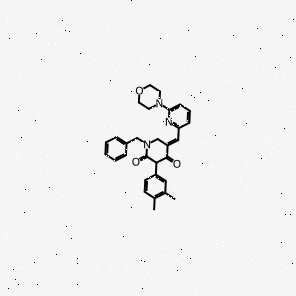 Cc1ccc(C2C(=O)C(=Cc3cccc(N4CCOCC4)n3)CN(Cc3ccccc3)C2=O)cc1C